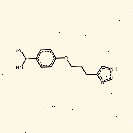 CC(C)C(O)c1ccc(OCCCc2c[nH]cn2)cc1